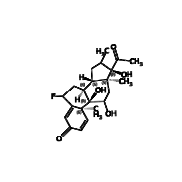 CC(=O)[C@@]1(O)C(C)C[C@H]2[C@@H]3CC(F)C4=CC(=O)C=C[C@]4(C)[C@@]3(O)C(O)C[C@@]21C